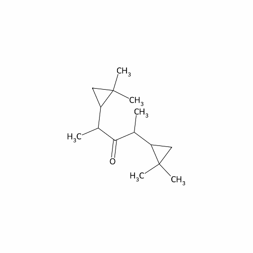 CC(C(=O)C(C)C1CC1(C)C)C1CC1(C)C